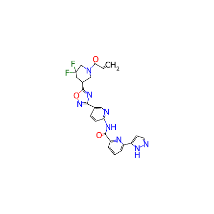 C=CC(=O)N1C[C@@H](c2nc(-c3ccc(NC(=O)c4cccc(-c5ccn[nH]5)n4)nc3)no2)CC(F)(F)C1